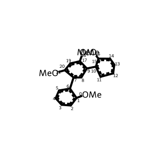 COc1ccccc1-c1cc(-c2ccccc2OC)c(OC)cc1OC